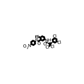 O=C(Nc1ccc([N+](=O)[O-])cc1)c1cc(NC(=O)[C@@H]2[C@@H](c3cc(Cl)cc(Cl)c3)C2(Cl)Cl)ccc1Cl